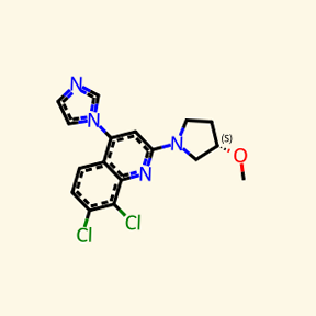 CO[C@H]1CCN(c2cc(-n3ccnc3)c3ccc(Cl)c(Cl)c3n2)C1